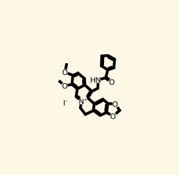 COc1ccc2c(CNC(=O)c3ccccc3)c3[n+](cc2c1OC)CCc1cc2c(cc1-3)OCO2.[I-]